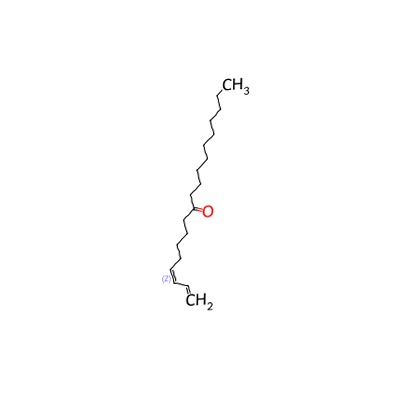 C=C/C=C\CCCCC(=O)CCCCCCCCCC